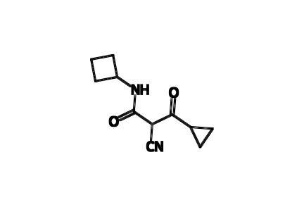 N#CC(C(=O)NC1CCC1)C(=O)C1CC1